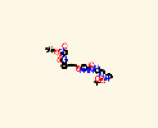 CN1CCC[C@@H]1c1cc2cnc(NC(=O)c3ccc(OCC#Cc4cccc5c4CN(C4CCC(=O)N(COCC[Si](C)(C)C)C4=O)C5=O)nc3)cc2n1C(=O)OC(C)(C)C